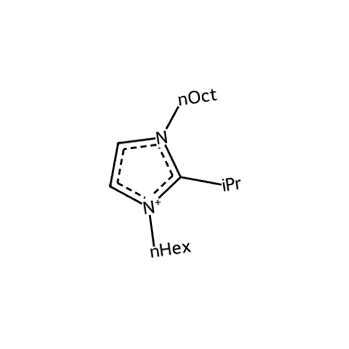 CCCCCCCCn1cc[n+](CCCCCC)c1C(C)C